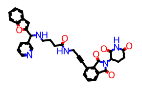 O=C(CCCNC(c1cccnc1)c1cc2ccccc2o1)NCC#Cc1cccc2c1C(=O)N(C1CCC(=O)NC1=O)C2=O